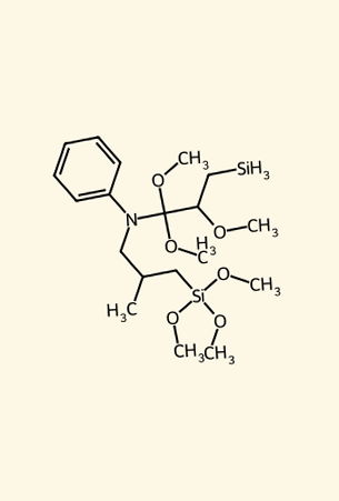 COC(C[SiH3])C(OC)(OC)N(CC(C)C[Si](OC)(OC)OC)c1ccccc1